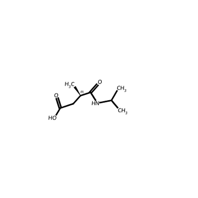 CC(C)NC(=O)[C@H](C)CC(=O)O